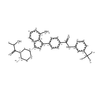 CC(O)C(=O)N1C[C@H](c2nc(-c3ccc(C(=O)Nc4cc(C(F)(F)F)ccn4)cc3)c3c(N)nccn23)OC[C@@H]1C